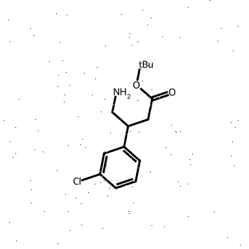 CC(C)(C)OC(=O)CC(CN)c1cccc(Cl)c1